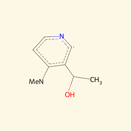 CNc1ccn[c]c1C(C)O